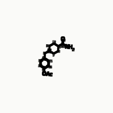 CC(=O)Oc1ccc(CN2CCC(C(N)=O)CC2)cc1